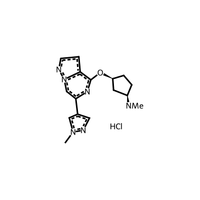 CN[C@@H]1CC[C@H](Oc2nc(-c3cnn(C)c3)cn3nccc23)C1.Cl